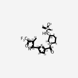 C=S(C)(=O)N[C@@H]1CCCN(C(=O)c2ccc(-c3noc(C(F)(F)F)c3C)s2)C1